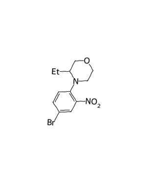 CCC1COCCN1c1ccc(Br)cc1[N+](=O)[O-]